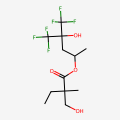 CCC(C)(CO)C(=O)OC(C)CC(O)(C(F)(F)F)C(F)(F)F